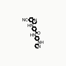 N#Cc1ccc2nccc(Nc3ccc(C(=O)Nc4ccc(Nc5ccccn5)cc4)cc3)c2c1